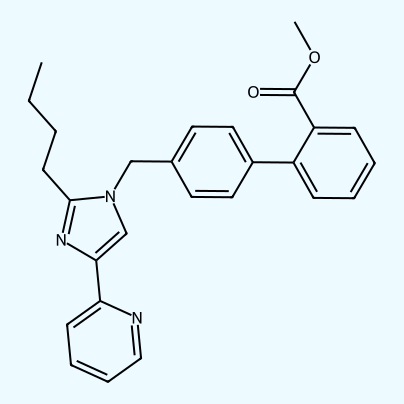 CCCCc1nc(-c2ccccn2)cn1Cc1ccc(-c2ccccc2C(=O)OC)cc1